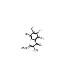 COC=C(C#N)C(=O)c1cc(F)c(F)c(F)c1F